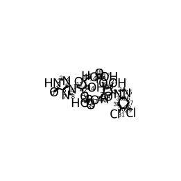 O=c1[nH]cnc2c1ncn2[C@@H]1O[C@@H]2COP(=O)(O)OC3C(O)[C@H](n4cnc5cc(Cl)c(Cl)cc54)O[C@@H]3COP(=O)(O)OC1C2O